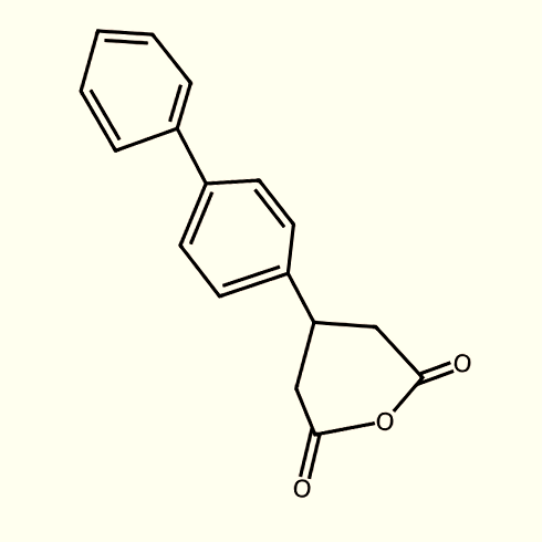 O=C1CC(c2ccc(-c3ccccc3)cc2)CC(=O)O1